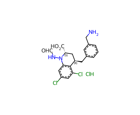 Cl.NCc1cccc(C[C@@H]2C[C@@H](C(=O)O)N(NC=O)c3cc(Cl)cc(Cl)c32)c1